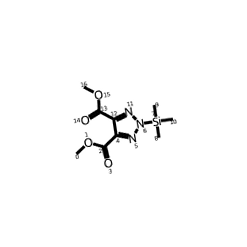 COC(=O)c1nn([Si](C)(C)C)nc1C(=O)OC